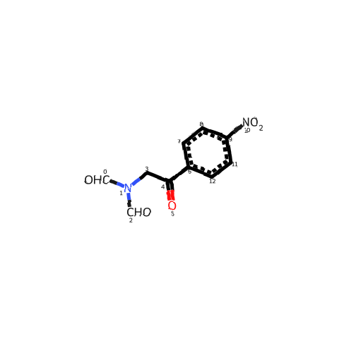 O=CN(C=O)CC(=O)c1ccc([N+](=O)[O-])cc1